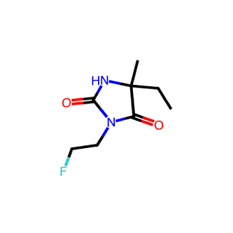 CCC1(C)NC(=O)N(CCF)C1=O